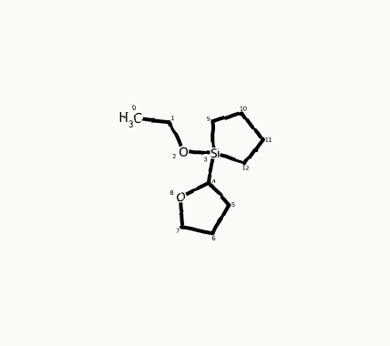 CCO[Si]1(C2CCCO2)CCCC1